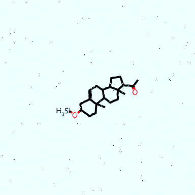 CC(=O)C1CCC2C3CC=C4CC(O[SiH3])CCC4(C)C3CCC12C